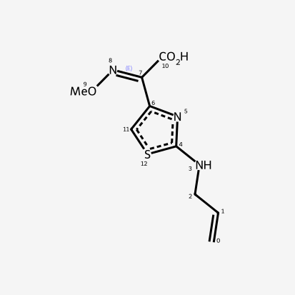 C=CCNc1nc(/C(=N\OC)C(=O)O)cs1